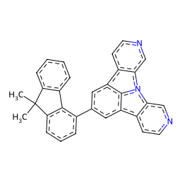 CC1(C)c2ccccc2-c2c(-c3cc4c5ccncc5n5c6cnccc6c(c3)c45)cccc21